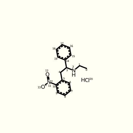 CCNC(Cc1ccccc1[N+](=O)[O-])c1ccccc1.Cl